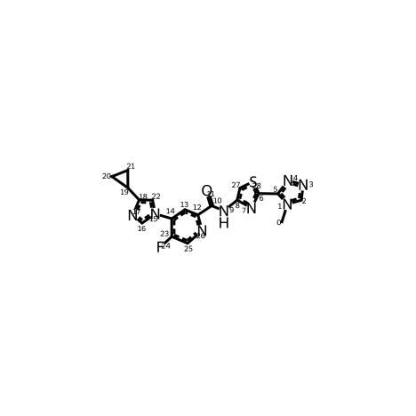 Cn1cnnc1-c1nc(NC(=O)c2cc(-n3cnc(C4CC4)c3)c(F)cn2)cs1